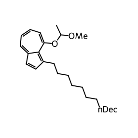 CCCCCCCCCCCCCCCCCc1ccc2ccccc(OC(C)OC)c1-2